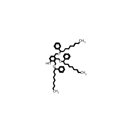 CCCCCCCCC(OCc1ccc(O)c(COC(CCCCCCCC)c2ccccc2)c1COC(CCCCCCCC)c1ccccc1)c1ccccc1